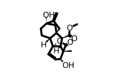 C=C1C[C@]23C[C@@]1(O)CC[C@H]2[C@@]12C=C[C@H](O)[C@@](C)(C(=O)O1)[C@H]2[C@@H]3C(=O)OC